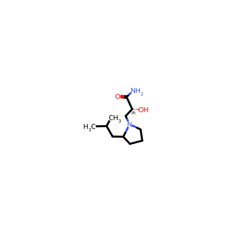 CC(C)CC1CCCN1C[C@@H](O)C(N)=O